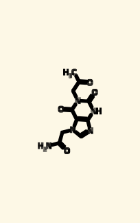 CC(=O)Cn1c(=O)[nH]c2ncn(CC(N)=O)c2c1=O